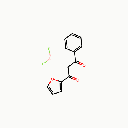 F[B]F.O=C(CC(=O)c1ccco1)c1ccccc1